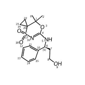 CC1(C)OC(N[C@@H](CCO)c2ccccc2)=NS(=O)(=O)C12CC2